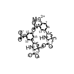 CC1(C)SC(c2cccc([N+](=O)[O-])c2)N[C@H]1C(=O)[O-].CC1(C)SC(c2cccc([N+](=O)[O-])c2)N[C@H]1C(=O)[O-].[Mg+2]